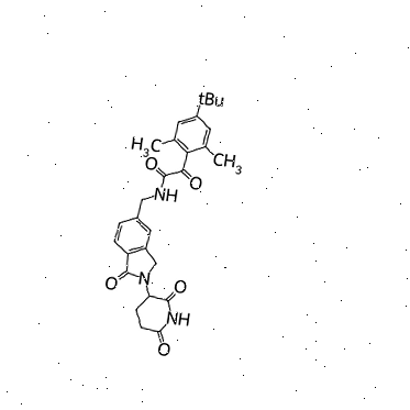 Cc1cc(C(C)(C)C)cc(C)c1C(=O)C(=O)NCc1ccc2c(c1)CN(C1CCC(=O)NC1=O)C2=O